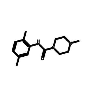 Cc1ccc(C)c(NC(=O)N2CCN(C)CC2)c1